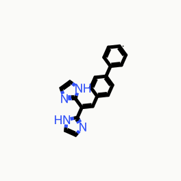 [c]1ccc(-c2ccc(C=C(c3ncc[nH]3)c3ncc[nH]3)cc2)cc1